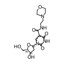 O=C(NCCN1CCOCC1)c1cn([C@H]2C[C@@H](O)[C@@H](CO)O2)c(=O)[nH]c1=O